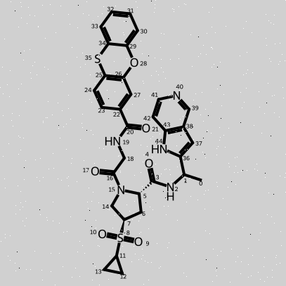 CC(NC(=O)[C@@H]1C[C@@H](S(=O)(=O)C2CC2)CN1C(=O)CNC(=O)c1ccc2c(c1)Oc1ccccc1S2)c1cc2cnccc2[nH]1